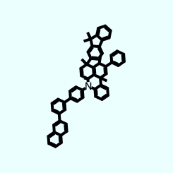 CC1C(c2ccccc2)=CC2(C)C3=C1C(C)(c1ccc4c(c1)C(C)(C)c1ccccc1-4)C=CC3(C)N(c1ccc(-c3cccc(-c4ccc5ccccc5c4)c3)cc1)c1ccccc12